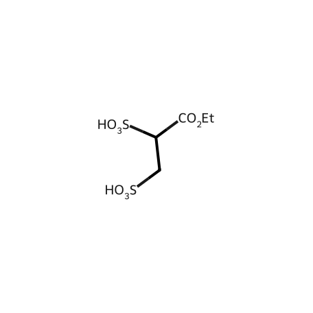 CCOC(=O)C(CS(=O)(=O)O)S(=O)(=O)O